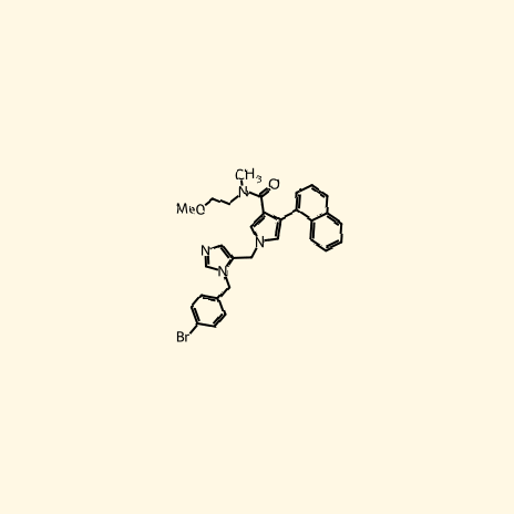 COCCN(C)C(=O)c1cn(Cc2cncn2Cc2ccc(Br)cc2)cc1-c1cccc2ccccc12